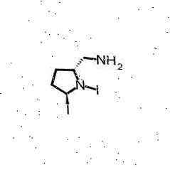 NC[C@H]1CC[C@H](I)N1I